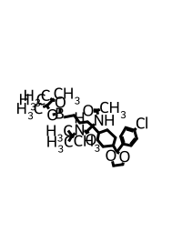 CC(=O)NC(CCCCB1OC(C)(C)C(C)(C)O1)(C(=O)NC(C)(C)C)C1CCC(C2(c3ccc(Cl)cc3)OCCO2)CC1